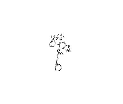 CCc1cc(OC(=O)CCCN2CCCCC2)c2c(c1)OC(C)(C)c1ccncc1-2.Cl